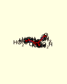 COc1ccc2c(OS(=O)(=O)Oc3cc(C(=O)N(C)CC(C)(C)COCC(C)(C)CN(N)/C=C(\N)C(C)(C)COCC(C)(C)CN4C(=O)C=CC4=O)ccc3O[C@@H]3O[C@H](C(=O)O)[C@@H](O)[C@H](O)[C@H]3O)cc3c(c2c1)[C@H](CCl)CN3C(=O)c1cc2cc(/C(C)=N/O[C@@H]3O[C@H](CO[C@@H]4OC(C(=O)O)[C@@H](O)[C@H](O)[C@H]4O)[C@H](O)[C@H](O)[C@H]3O)ccc2[nH]1